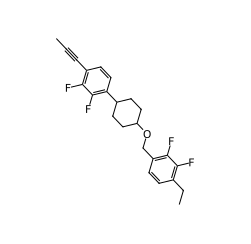 CC#Cc1ccc(C2CCC(OCc3ccc(CC)c(F)c3F)CC2)c(F)c1F